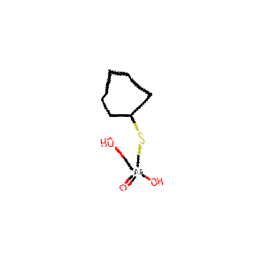 O=[As](O)(O)SC1CCCCC1